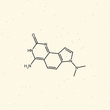 CN(C)n1ccc2c3nc(=O)[nH]c(N)c3ccc21